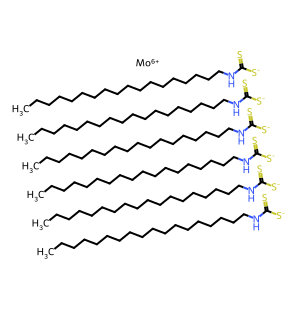 CCCCCCCCCCCCCCCCCCNC(=S)[S-].CCCCCCCCCCCCCCCCCCNC(=S)[S-].CCCCCCCCCCCCCCCCCCNC(=S)[S-].CCCCCCCCCCCCCCCCCCNC(=S)[S-].CCCCCCCCCCCCCCCCCCNC(=S)[S-].CCCCCCCCCCCCCCCCCCNC(=S)[S-].[Mo+6]